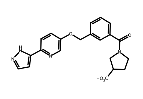 O=C(O)C1CCN(C(=O)c2cccc(COc3ccc(-c4ccn[nH]4)nc3)c2)C1